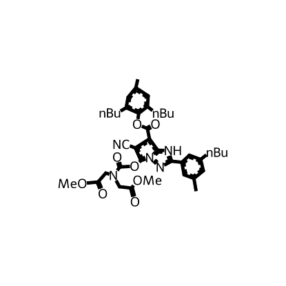 CCCCc1cc(C)cc(-c2nn3c(OC(=O)N(CC(=O)OC)CC(=O)OC)c(C#N)c(C(=O)Oc4c(CCCC)cc(C)cc4CCCC)c3[nH]2)c1